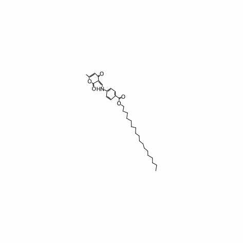 CCCCCCCCCCCCCCCCCCOC(=O)c1ccc(NC=C2C(=O)C=C(C)OC2=O)cc1